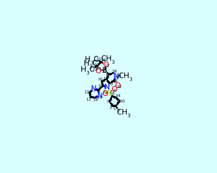 Cc1ccc(S(=O)(=O)n2c(-c3ncccn3)cc3c(B4OC(C)(C)C(C)(C)O4)cn(C)c(=O)c32)cc1